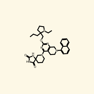 CCCC1(COc2nc3c(c(N4CCCC5(C4)NC(=O)NC5=O)n2)CCN(c2cccc4ccccc24)C3)CCCN1CC